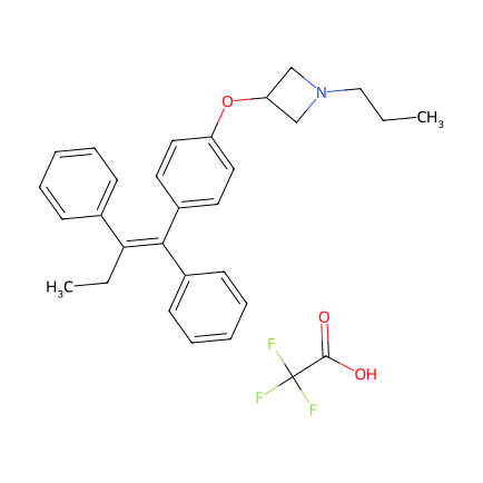 CCCN1CC(Oc2ccc(/C(=C(/CC)c3ccccc3)c3ccccc3)cc2)C1.O=C(O)C(F)(F)F